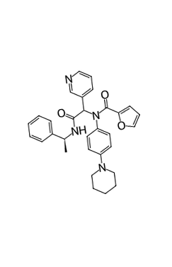 C[C@H](NC(=O)C(c1cccnc1)N(C(=O)c1ccco1)c1ccc(N2CCCCC2)cc1)c1ccccc1